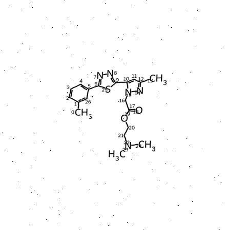 Cc1cccc(-c2nnc(-c3cc(C)nn3CC(=O)OCCN(C)C)s2)c1